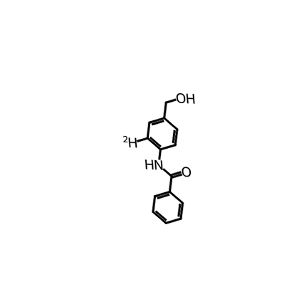 [2H]c1cc(CO)ccc1NC(=O)c1ccccc1